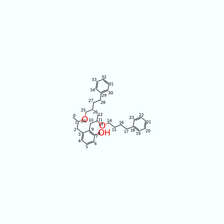 CC(Cc1cccc(O)c1CC(C)OCCCCc1ccccc1)OCCCCc1ccccc1